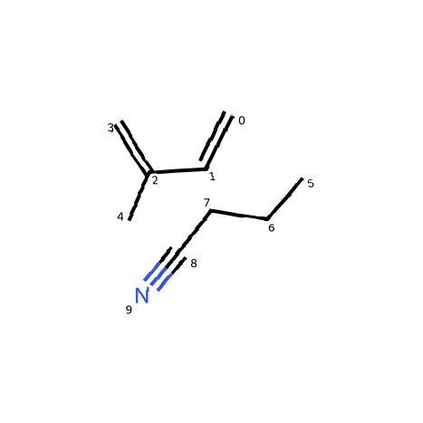 C=CC(=C)C.CCCC#N